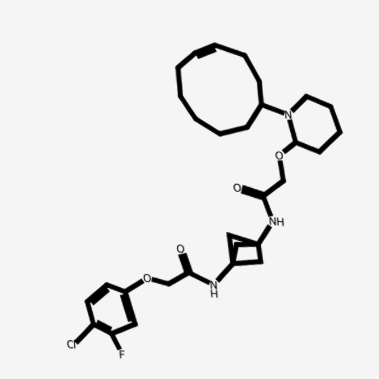 O=C(COc1ccc(Cl)c(F)c1)NC12CC(NC(=O)COC3CCCCN3C3CC/C=C\CCCCC3)(C1)C2